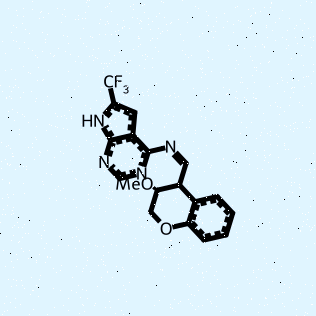 CO[C@H]1COc2ccccc2C1/C=N\c1ncnc2[nH]c(C(F)(F)F)cc12